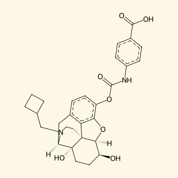 O=C(Nc1ccc(C(=O)O)cc1)Oc1ccc2c3c1O[C@H]1[C@@H](O)CC[C@@]4(O)[C@@H](C2)N(CC2CCC2)CC[C@]314